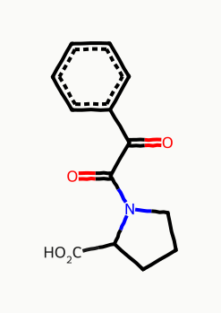 O=C(C(=O)N1CCCC1C(=O)O)c1ccccc1